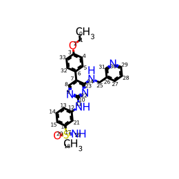 CCOc1ccc(-c2cnc(Nc3cccc(S(C)(=N)=O)c3)nc2NCc2cccnc2)cc1